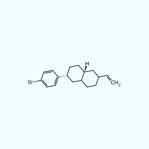 C=CC1CCC2C[C@H](c3ccc(Br)cc3)CC[C@@H]2C1